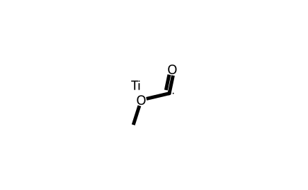 CO[C]=O.[Ti]